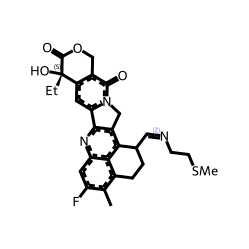 CC[C@@]1(O)C(=O)OCc2c1cc1n(c2=O)Cc2c-1nc1cc(F)c(C)c3c1c2C(/C=N\CCSC)CC3